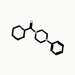 O=C(C1CCCCC1)N1CCN(c2ccccc2)CC1